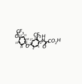 O=C(O)C(=O)Nc1ccc(Oc2ccc(OC(F)(F)F)cc2)cc1C(F)(F)F